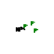 [F-].[F-].[F-].[Ni+3]